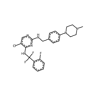 CN1CCN(c2ccc(CNc3ncc(Cl)c(NC(F)(F)c4ccccc4F)n3)cc2)CC1